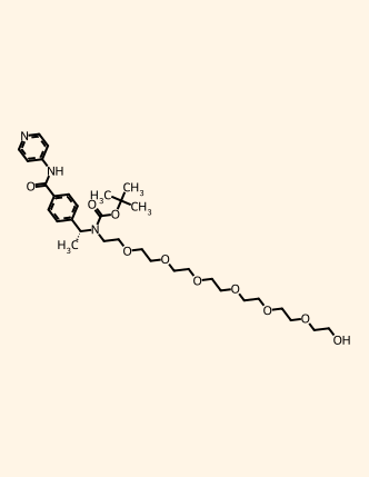 C[C@H](c1ccc(C(=O)Nc2ccncc2)cc1)N(CCOCCOCCOCCOCCOCCOCCO)C(=O)OC(C)(C)C